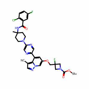 CC1(NC(=O)c2cc(F)ccc2Cl)CCN(c2cnc(-c3cc(OCC4(F)CN(C(=O)OC(C)(C)C)C4)cn4ncc(C#N)c34)cn2)CC1